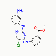 COC(=O)c1cccc(Nc2nc(Nc3cccc(N)c3)ncc2Cl)c1